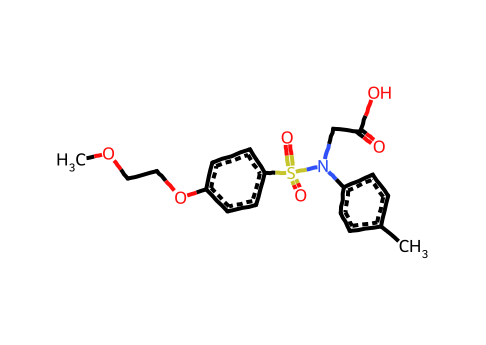 COCCOc1ccc(S(=O)(=O)N(CC(=O)O)c2ccc(C)cc2)cc1